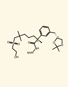 CNNC(=O)[C@](C)(CCCC(C)(C)CS(=O)(=O)CCO)c1cccc(C[C@@H]2COC(C)(C)O2)c1